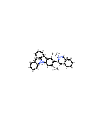 Cc1cc2c(cc1-c1cc3ccccc3c[n+]1C)c1cccc3c4ccccc4n2c31